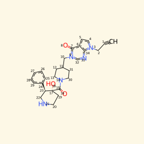 C#CCn1ccc2c(=O)n(CC3CCN(C(=O)[C@@]4(O)CCNC[C@H]4c4ccccc4)CC3)cnc21